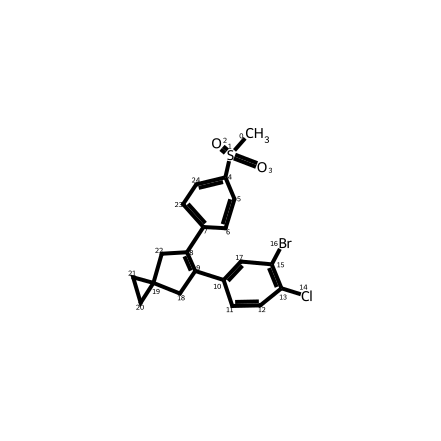 CS(=O)(=O)c1ccc(C2=C(c3ccc(Cl)c(Br)c3)CC3(CC3)C2)cc1